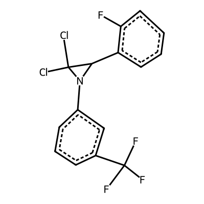 Fc1ccccc1C1N(c2cccc(C(F)(F)F)c2)C1(Cl)Cl